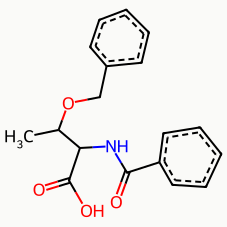 CC(OCc1ccccc1)C(NC(=O)c1ccccc1)C(=O)O